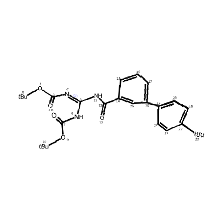 CC(C)(C)OC(=O)/N=C(\NC(=O)OC(C)(C)C)NC(=O)c1cccc(-c2ccc(C(C)(C)C)cc2)c1